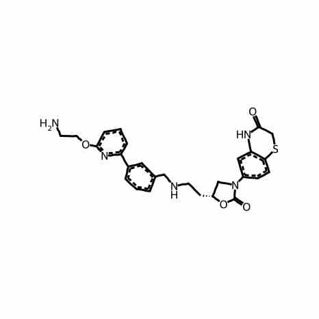 NCCOc1cccc(-c2cccc(CNCC[C@@H]3CN(c4ccc5c(c4)NC(=O)CS5)C(=O)O3)c2)n1